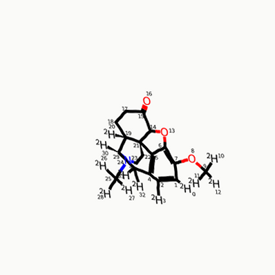 [2H]c1c([2H])c2c3c(c1OC([2H])([2H])[2H])OC1C(=O)CC[C@]4([2H])[C@@]31CCN(C([2H])([2H])[2H])[C@]4([2H])C2([2H])[2H]